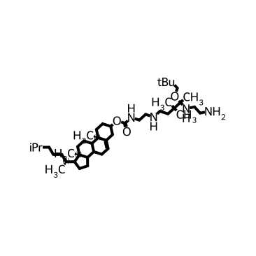 CC(C)CCC[C@H](C)C1CCC2C3CC=C4CC(OC(=O)NCCNCCC(C)(C)C(C)(NCCN)OCC(C)(C)C)CC[C@@]4(C)C3CC[C@]21C